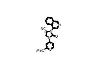 COc1cc(N2C[C@@H](C#N)N(c3cncc4ccccc34)C2=O)ccn1